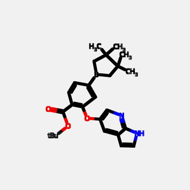 CC(C)(C)OC(=O)c1ccc(B2CC(C)(C)C(C)(C)C2)cc1Oc1cnc2[nH]ccc2c1